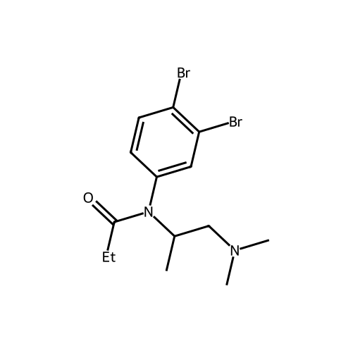 CCC(=O)N(c1ccc(Br)c(Br)c1)C(C)CN(C)C